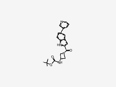 CC(C)(C)OC(=O)NC1CN(C(=O)c2cc3cc(-c4cccnc4)ccc3[nH]2)C1